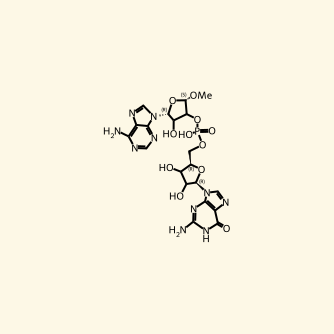 CO[C@H]1O[C@@H](n2cnc3c(N)ncnc32)C(O)C1OP(=O)(O)OC[C@H]1O[C@@H](n2cnc3c(=O)[nH]c(N)nc32)C(O)C1O